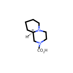 O=C(O)N1CCN2CCCC[C@@H]2C1